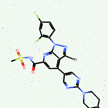 CC(C)c1nn(-c2ccc(F)cc2F)c2nc(C(=O)NS(C)(=O)=O)cc(-c3cnc(N4CCC(C#N)CC4)nc3)c12